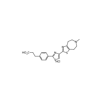 CN1CCc2nc(-c3csc(-c4ccc(CCC(=O)O)cc4)n3)sc2CC1.Cl